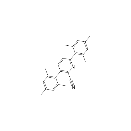 Cc1cc(C)c(-c2ccc(-c3c(C)cc(C)cc3C)c(C#N)n2)c(C)c1